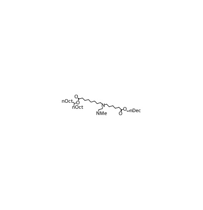 CCCCCCCCCCCOC(=O)CCCCCN(CCCCCCCC(=O)OC(CCCCCCCC)CCCCCCCC)CCNC